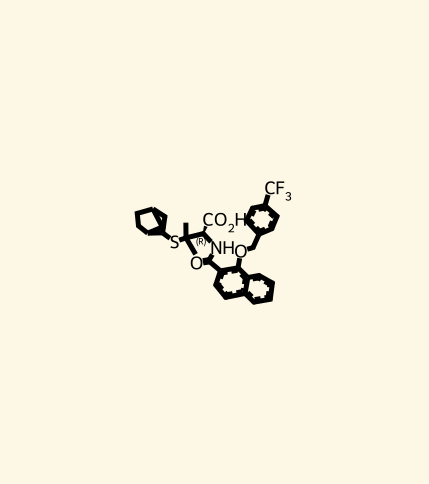 CC(C)(SC1CC2CCC1C2)[C@H](NC(=O)c1ccc2ccccc2c1OCc1ccc(C(F)(F)F)cc1)C(=O)O